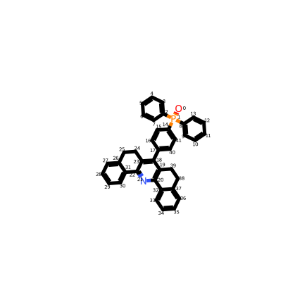 O=P(c1ccccc1)(c1ccccc1)c1ccc(-c2c3c(nc4c2CCc2ccccc2-4)-c2ccccc2CC3)cc1